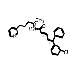 C[C@H](CCCc1cccnc1)NC(=O)/C=C/C=C(\c1ccccc1)c1cccc(Cl)c1